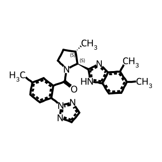 Cc1ccc(-n2nccn2)c(C(=O)N2CC[C@H](C)[C@H]2c2nc3c(C)c(C)ccc3[nH]2)c1